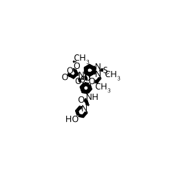 CCOC1OC(=O)CC1NS(=O)(=O)c1ccc(NC(=O)CN2CCC(O)CC2)cc1O[C@H](C)Cn1c(SC)nc2ccccc21